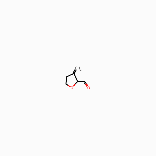 C=C1CCOC1C=O